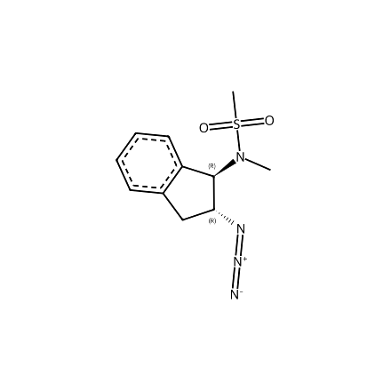 CN([C@@H]1c2ccccc2C[C@H]1N=[N+]=[N-])S(C)(=O)=O